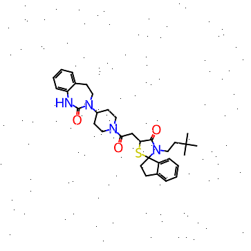 CC(C)(C)CCN1C(=O)C(CC(=O)N2CCC(N3CCc4ccccc4NC3=O)CC2)SC12CCc1ccccc12